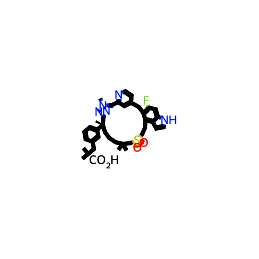 Cn1nc2nc1-c1cc(ccn1)Cc1c(F)cc3[nH]ccc3c1CCS(=O)(=O)CC(C)(C)CCC[C@]2(C)c1cccc(CC(C)(C)C(=O)O)c1